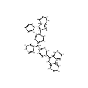 c1ccc(-c2c(-c3ccc(N(c4ccccc4)c4ccc(-c5cc6ccccc6c6ccccc56)cc4)cc3)nc3ccccn23)cc1